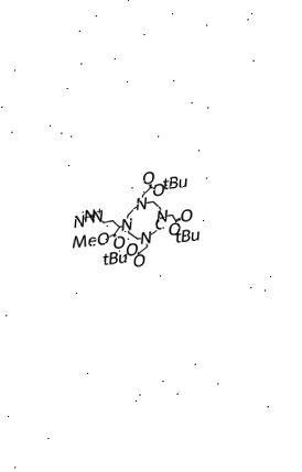 COC(=O)C(CCN=[N+]=[N-])N1CCN(CC(=O)OC(C)(C)C)CCN(CC(=O)OC(C)(C)C)CCN(CC(=O)OC(C)(C)C)CC1